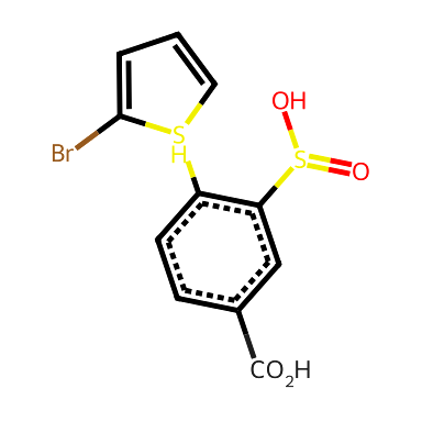 O=C(O)c1ccc([SH]2C=CC=C2Br)c(S(=O)O)c1